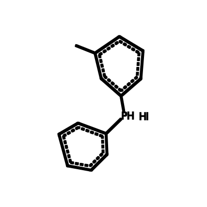 Cc1cccc(Pc2ccccc2)c1.I